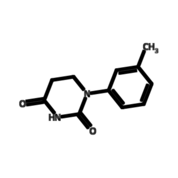 Cc1cccc(N2CCC(=O)NC2=O)c1